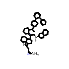 CC(C1=CC=C(C2C=CC=CC2C2=CCCC=C2)CC1)C1CCCC/C1=C(/CNC1C=CC2C=CC=CC2C1)C1CCC(CC/C=C\N)[C@H]2CCCCC12